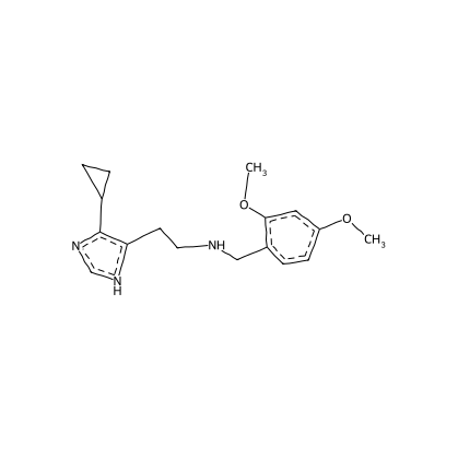 COc1ccc(CNCCc2[nH]cnc2C2CC2)c(OC)c1